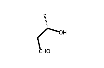 C[C@H](O)CC=O